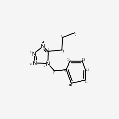 CCCc1nnnn1Cc1ccccc1